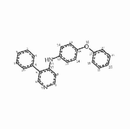 [c]1cccc(-c2cnccc2Nc2ccc(Oc3ccccc3)cc2)c1